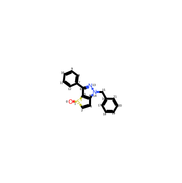 [O-][s+]1ccc2c1c(-c1ccccc1)nn2Cc1ccccc1